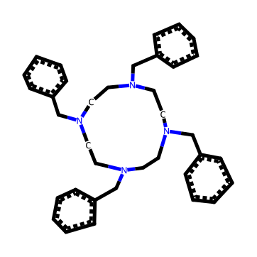 c1ccc(CN2CCN(Cc3ccccc3)CCN(Cc3ccccc3)CCN(Cc3ccccc3)CC2)cc1